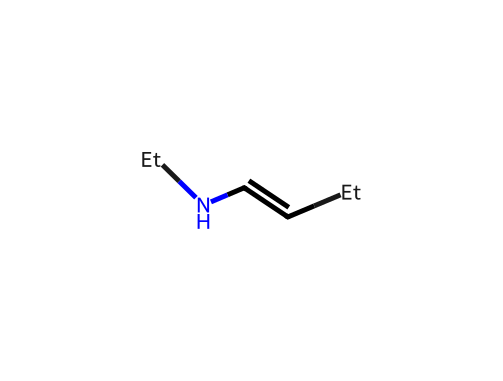 [CH2]CC=CNCC